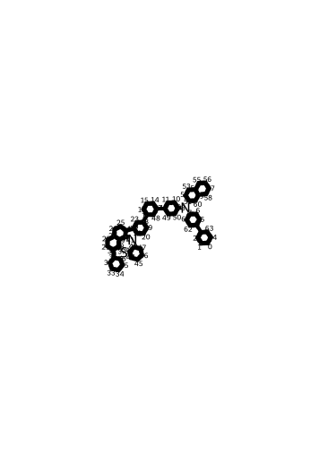 c1ccc(-c2ccc(N(c3ccc(-c4cccc(-c5ccc6c(c5)c5ccc7ccc8c9ccccc9sc8c7c5n6-c5ccccc5)c4)cc3)c3ccc4ccccc4c3)cc2)cc1